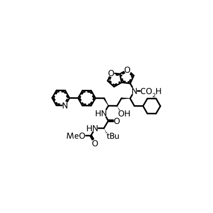 COC(=O)N[C@H](C(=O)N[C@@H](Cc1ccc(-c2ccccn2)cc1)[C@@H](O)C[C@H](CC1CCCCC1)N(C(=O)O)c1coc2occc12)C(C)(C)C